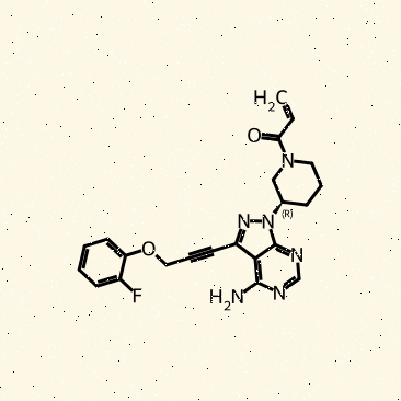 C=CC(=O)N1CCC[C@@H](n2nc(C#CCOc3ccccc3F)c3c(N)ncnc32)C1